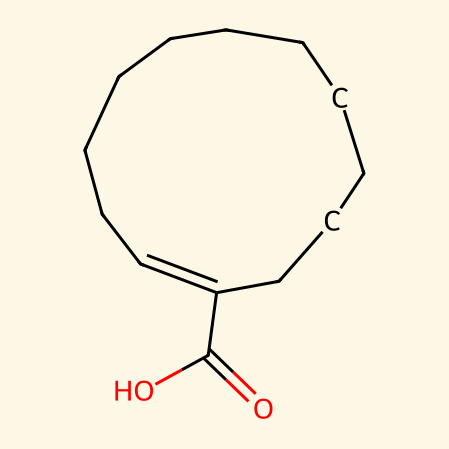 O=C(O)/C1=C/CCCCCCCCCC1